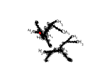 CCCCCCCCC(CCCCCC)COC(=O)CCCC(=O)OCC(C)(C)C(C(=O)NCCC(=O)OCCN1CCOCC1)C(CCC(=O)O)(CC(CCCCCC)OC(=O)CCCCC1CCSS1)C(=O)O.CCCCCCCCC(CCCCCC)COC(=O)CCCC(=O)OCC(C)(C)C(OC(=O)CCCC(=O)OCC(CCCCCC)OC(=O)CCCCC1CCSS1)C(=O)NCCC(=O)OCCN1CCOCC1